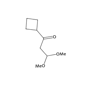 COC(CC(=O)C1CCC1)OC